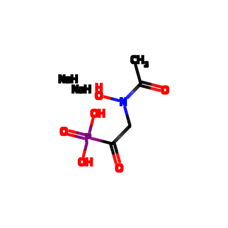 CC(=O)N(O)CC(=O)P(=O)(O)O.[NaH].[NaH]